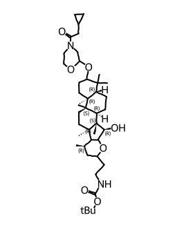 C[C@@H]1CC(CCNC(=O)OC(C)(C)C)OC2C1[C@@]1(C)CC[C@@]34C[C@@]35CCC(OC3CN(C(=O)CC6CC6)CCO3)C(C)(C)[C@@H]5CC[C@H]4[C@]1(C)[C@H]2O